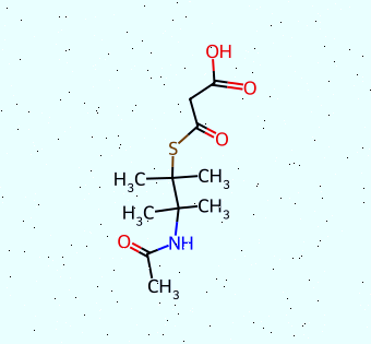 CC(=O)NC(C)(C)C(C)(C)SC(=O)CC(=O)O